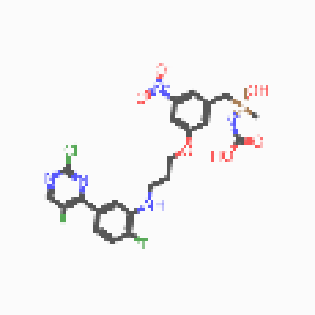 C[SH](O)(Cc1cc(OCCCNc2cc(-c3nc(Cl)ncc3F)ccc2F)cc([N+](=O)[O-])c1)=NC(=O)O